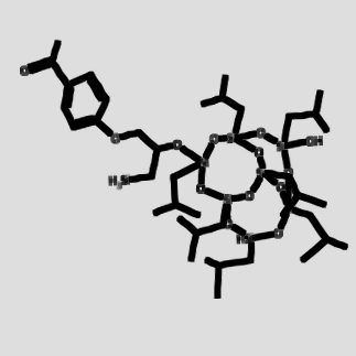 CC(=O)c1ccc(OCC(C[SiH3])O[Si]2(CC(C)C)O[Si]3(CC(C)C)O[SiH](CC(C)C)O[Si]4(CC(C)C)O[Si](O)(CC(C)C)O[Si](CC(C)C)(O2)O[Si](CC(C)C)(O4)O3)cc1